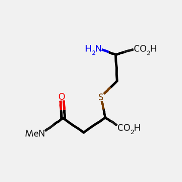 CNC(=O)CC(SCC(N)C(=O)O)C(=O)O